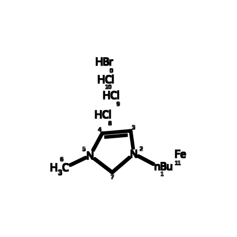 Br.CCCCN1C=CN(C)C1.Cl.Cl.Cl.[Fe]